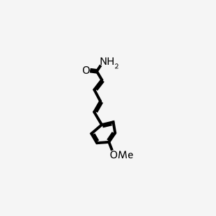 COc1ccc(C=CC=CC(N)=O)cc1